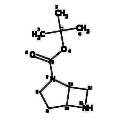 CC(C)(C)OC(=O)N1CCC2NCC21